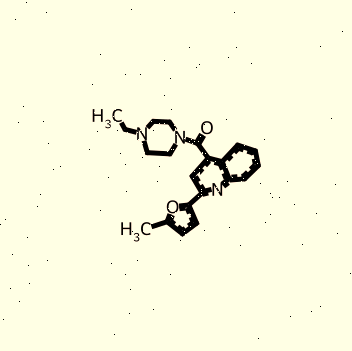 CCN1CCN(C(=O)c2cc(-c3ccc(C)o3)nc3ccccc23)CC1